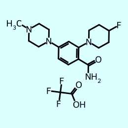 CN1CCN(c2ccc(C(N)=O)c(N3CCC(F)CC3)c2)CC1.O=C(O)C(F)(F)F